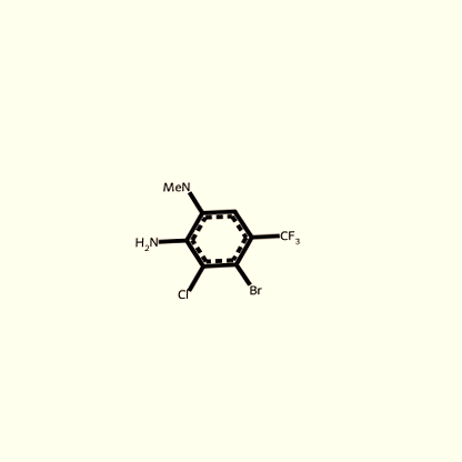 CNc1cc(C(F)(F)F)c(Br)c(Cl)c1N